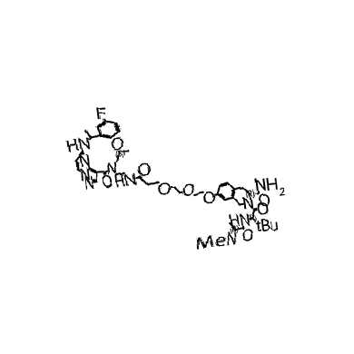 CN[C@H](C)C(=O)N[C@@H](C(=O)N1Cc2cc(OCCOCCOCCC(=O)NCCN3C[C@H](C)Oc4ccc(F)cc4C(C)Nc4ccn5ncc(c5n4)C3=O)ccc2C[C@@H]1C(N)=O)C(C)(C)C